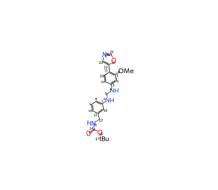 COc1cc(NCNc2cccc(CNC(=O)OC(C)(C)C)c2)ccc1-c1cnco1